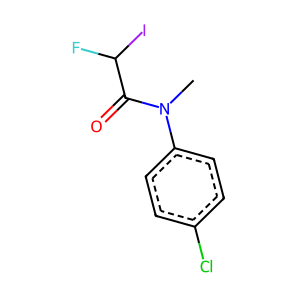 CN(C(=O)C(F)I)c1ccc(Cl)cc1